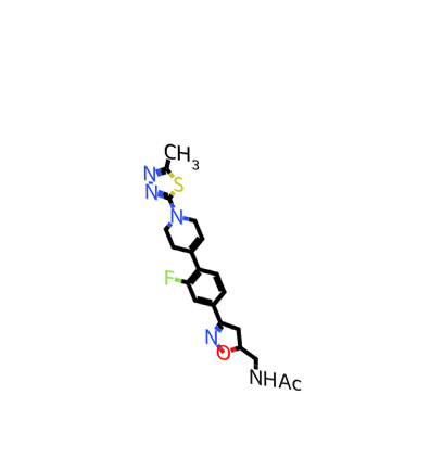 CC(=O)NCC1CC(c2ccc(C3=CCN(c4nnc(C)s4)CC3)c(F)c2)=NO1